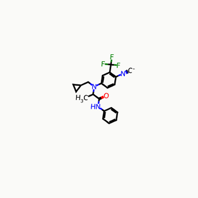 [C-]#[N+]c1ccc(N(CC2CC2)C(C)C(=O)Nc2ccccc2)cc1C(F)(F)F